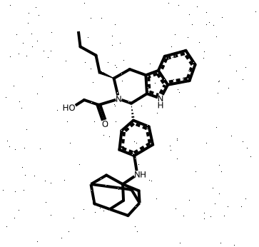 CCCC[C@H]1Cc2c([nH]c3ccccc23)[C@H](c2ccc(NC34CC5CC(CC(C5)C3)C4)cc2)N1C(=O)CO